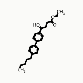 CCCCCc1ccc(-c2ccc(C(O)CCC(=O)OCC)cc2)cc1